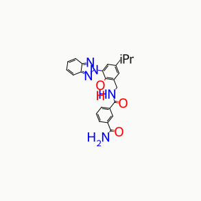 CC(C)c1cc(CNC(=O)c2cccc(C(N)=O)c2)c(O)c(-n2nc3ccccc3n2)c1